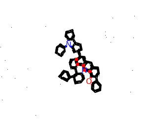 c1ccc(-c2ccccc2-c2c(-c3ccccc3)cccc2N(c2ccc(-c3ccc4c5ccccc5n(-c5ccccc5)c4c3)cc2)c2cccc3c2oc2ccccc23)cc1